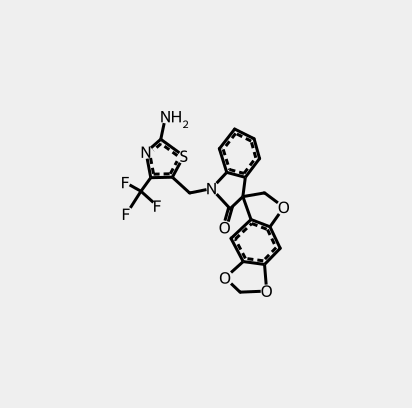 Nc1nc(C(F)(F)F)c(CN2C(=O)C3(COc4cc5c(cc43)OCO5)c3ccccc32)s1